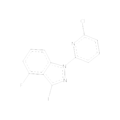 Fc1cccc2c1c(I)nn2-c1cccc(Cl)n1